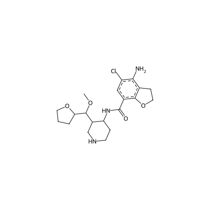 COC(C1CCCO1)C1CNCCC1NC(=O)c1cc(Cl)c(N)c2c1OCC2